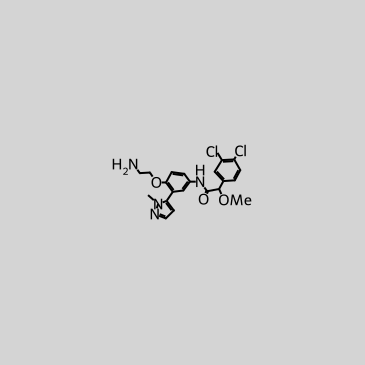 COC(C(=O)Nc1ccc(OCCN)c(-c2ccnn2C)c1)c1ccc(Cl)c(Cl)c1